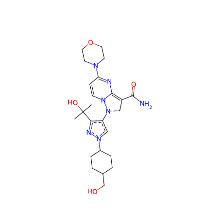 CC(C)(O)c1nn(C2CCC(CO)CC2)cc1N1CC(C(N)=O)=C2N=C(N3CCOCC3)C=CN21